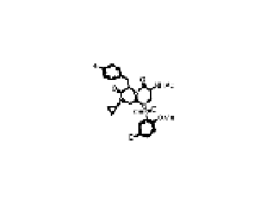 COc1ccc(Cl)cc1S(=O)(=O)N1CC(NC(C)=O)C(=O)N2C(Cc3ccc(Br)cc3)C(=O)N(C3CC3)CC21